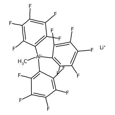 [CH3][Al-]([c]1c(F)c(F)c(F)c(F)c1F)([c]1c(F)c(F)c(F)c(F)c1F)[c]1c(F)c(F)c(F)c(F)c1F.[Li+]